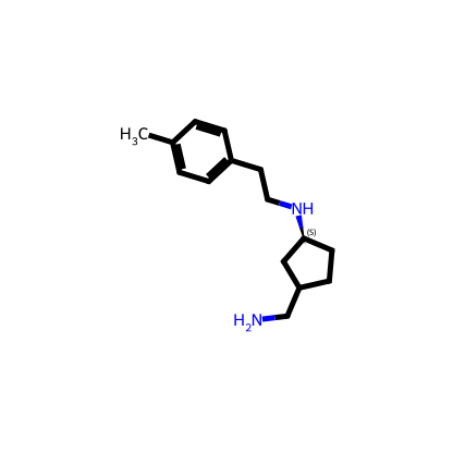 Cc1ccc(CCN[C@H]2CCC(CN)C2)cc1